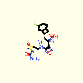 CS(=O)(CCNc1nonc1/C(C[C@H]1Cc2ccc(F)cc21)=N/O)=NC(N)=O